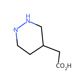 O=C(O)CC1CC[N]NC1